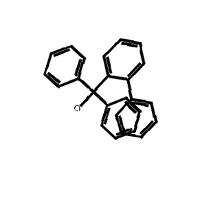 ClC(c1ccccc1)(c1ccccc1)c1ccccc1-c1ccccc1